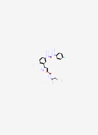 Cc1ccc(NC(=O)Nc2ccc(F)cc2)cc1-c1cc(C(=O)NC(CC(C)C)C(=O)O)on1